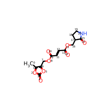 Cc1oc(=O)oc1COC(=O)/C=C/C(=O)OCC1CCNC1=O